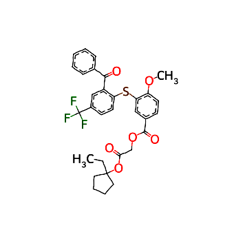 CCC1(OC(=O)COC(=O)c2ccc(OC)c(Sc3ccc(C(F)(F)F)cc3C(=O)c3ccccc3)c2)CCCC1